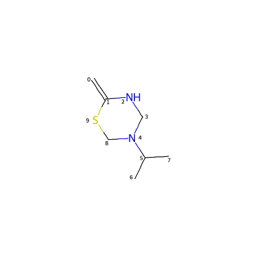 C=C1NCN(C(C)C)CS1